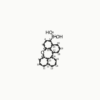 OB(O)c1ccc2oc3cccc4cccc(c5cccc1c25)c43